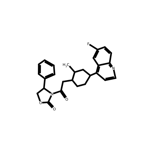 CC1CC(c2ccnc3ccc(F)cc23)CCC1CC(=O)N1C(=O)OCC1c1ccccc1